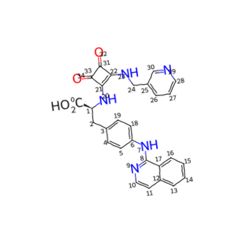 O=C(O)[C@H](Cc1ccc(Nc2nccc3ccccc23)cc1)Nc1c(NCc2cccnc2)c(=O)c1=O